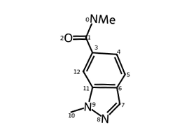 CNC(=O)c1ccc2cnn(C)c2c1